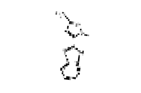 Cn1nc([N+](=O)[O-])cc1-c1nc2ccccc2[nH]1